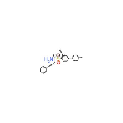 C#Cc1cc(-c2ccc(C)cc2)ccc1S(=O)(=O)C(N)(CC#Cc1ccccc1)C(=O)O